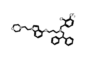 FC(F)(F)c1cccc(CN(CCCOc2cccc3c2ccn3CCN2CCOCC2)CC(c2ccccc2)c2ccccc2)c1Cl